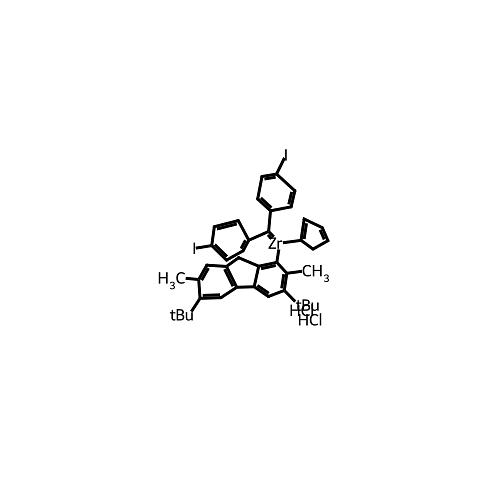 Cc1cc2c(cc1C(C)(C)C)-c1cc(C(C)(C)C)c(C)[c]([Zr]([C]3=CC=CC3)=[C](c3ccc(I)cc3)c3ccc(I)cc3)c1C2.Cl.Cl